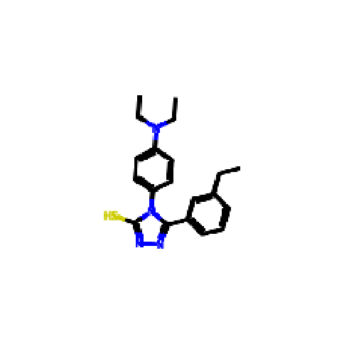 CCc1cccc(-c2nnc(S)n2-c2ccc(N(CC)CC)cc2)c1